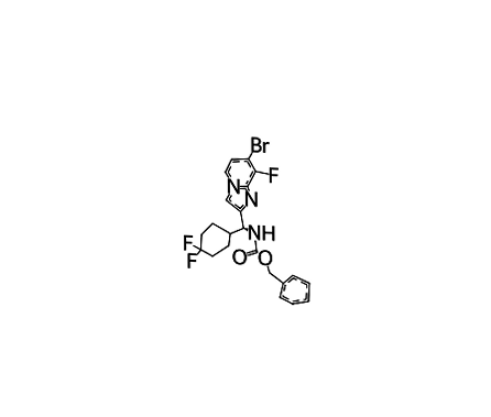 O=C(N[C@H](c1cn2ccc(Br)c(F)c2n1)C1CCC(F)(F)CC1)OCc1ccccc1